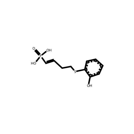 O=P(O)(O)C=CCCSc1ccccc1O